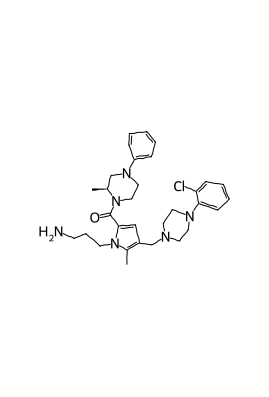 Cc1c(CN2CCN(c3ccccc3Cl)CC2)cc(C(=O)N2CCN(c3ccccc3)C[C@@H]2C)n1CCCN